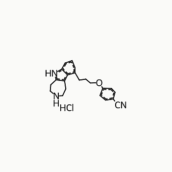 Cl.N#Cc1ccc(OCCCc2cccc3[nH]c4c(c23)CCNCC4)cc1